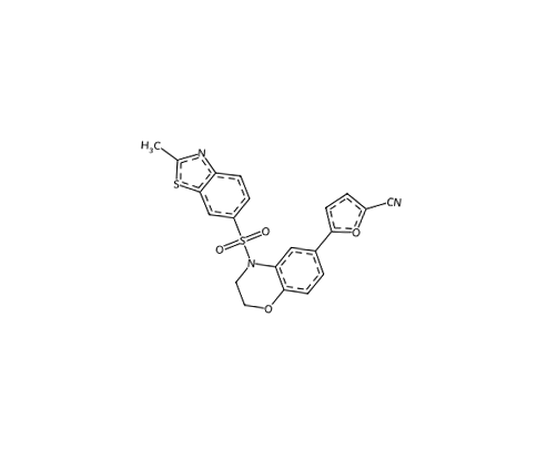 Cc1nc2ccc(S(=O)(=O)N3CCOc4ccc(-c5ccc(C#N)o5)cc43)cc2s1